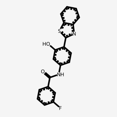 O=C(Nc1ccc(-c2nc3ccccc3s2)c(O)c1)c1cccc(F)c1